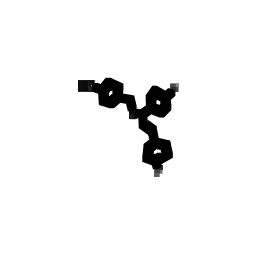 N#Cc1ccc(CSC(/C=C/c2ccc(F)cc2)c2ccc(F)cc2)cc1